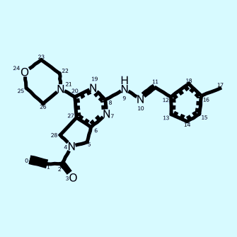 C#CC(=O)N1Cc2nc(N/N=C/c3cccc(C)c3)nc(N3CCOCC3)c2C1